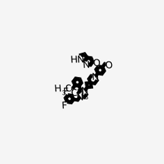 CC(C)c1ccccc1C1CN(Cc2cc(F)cc(F)c2)CCN1C1CC2(CCN(c3ccc(C=O)c(Oc4cnc5[nH]ccc5c4)c3)CC2)C1